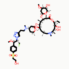 CC[C@H]1OC(=O)[C@H](C)[C@@H](O[C@H]2C[C@@](C)(OC)[C@@H](O)[C@H](C)O2)[C@H](C)[C@@H](O[C@H]2C[C@@H](N(C)CCc3cn([C@H](CF)[C@H](OC)c4ccc(S(=O)(=O)CCO)cc4)nn3)C[C@@H](C)O2)[C@](C)(O)C[C@@H](C)CN(C)[C@H](C)[C@@H](O)[C@]1(C)O